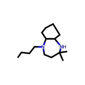 CCCCN1CCC(C)(C)NC2CCCCC21